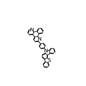 c1ccc2c(c1)sc1c2ccc2c1c1ccccc1n2-c1ccc(-c2ccc3c4cccnc4c4ccccc4c3n2)cc1